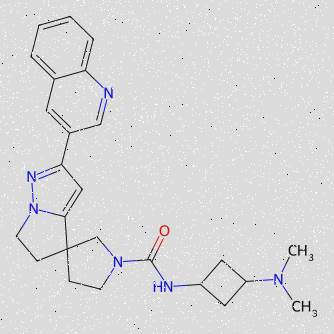 CN(C)C1CC(NC(=O)N2CCC3(CCn4nc(-c5cnc6ccccc6c5)cc43)C2)C1